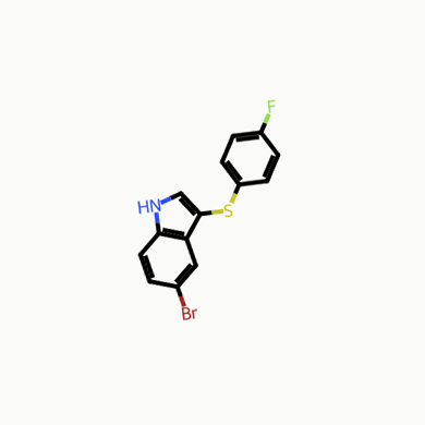 Fc1ccc(Sc2c[nH]c3ccc(Br)cc23)cc1